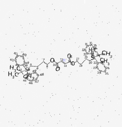 CC(C)(C)[Si](CCCCOC(=O)/C=C/C(=O)OCCCC[Si](c1ccccc1)(c1ccccc1)C(C)(C)C)(c1ccccc1)c1ccccc1